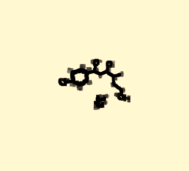 CC(CCO)C([O-])CC([O-])c1ccc(Cl)cc1.[Na+].[Na+]